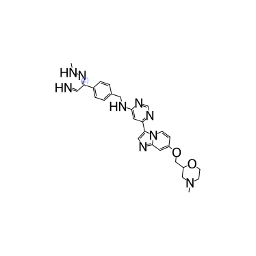 CN/N=C(\C=N)c1ccc(CNc2cc(-c3cnc4cc(OCC5CN(C)CCO5)ccn34)ncn2)cc1